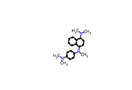 CN(C)c1ccc(N(C)c2ccc(N(C)C)c3ccccc23)cc1